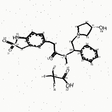 CN(C(=O)Cc1ccc2c(c1)CS(=O)(=O)N2)C(CN1CC[C@H](O)C1)c1ccccc1.O=C(O)C(F)(F)F